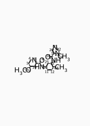 COc1ccnc(C(=O)Nc2ccc(C)c(NC(=O)c3cncn3C)c2)c1